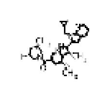 COc1cc(C(=O)N2C[C@H](C)C[C@@H](F)C2)cn2nc(-c3cc4cccnc4n3CC3CC3)c(C)c12